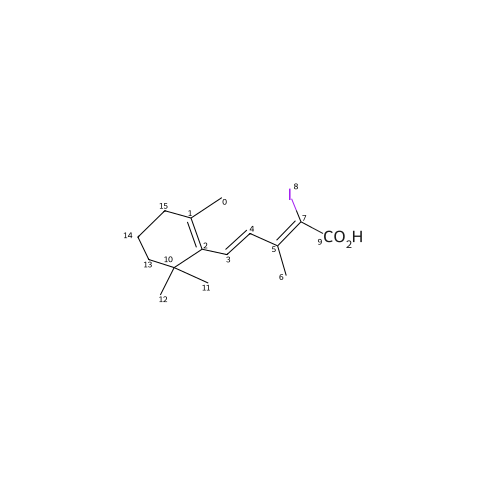 CC1=C(/C=C/C(C)=C(\I)C(=O)O)C(C)(C)CCC1